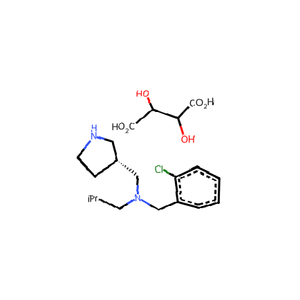 CC(C)CN(Cc1ccccc1Cl)C[C@@H]1CCNC1.O=C(O)C(O)C(O)C(=O)O